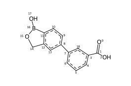 O=C(O)c1cccc(-c2ccc3c(c2)COB3O)c1